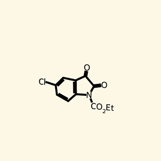 CCOC(=O)N1C(=O)C(=O)c2cc(Cl)ccc21